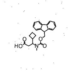 CN(C(=O)OCC1c2ccccc2-c2ccccc21)C(CC(=O)O)C1CCC1